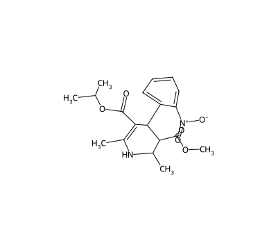 COC(=O)C1C(C)NC(C)=C(C(=O)OC(C)C)C1c1ccccc1[N+](=O)[O-]